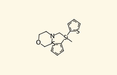 C[Si](CN1CCOCC1)(c1cccs1)c1cccs1